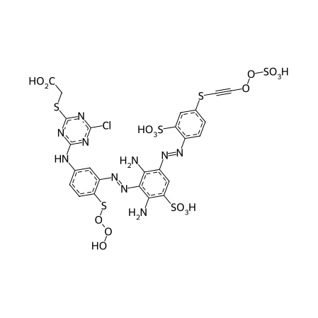 Nc1c(N=Nc2ccc(SC#COOS(=O)(=O)O)cc2S(=O)(=O)O)cc(S(=O)(=O)O)c(N)c1N=Nc1cc(Nc2nc(Cl)nc(SCC(=O)O)n2)ccc1SOOO